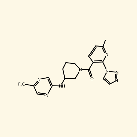 Cc1ccc(C(=O)N2CCCC(Nc3cnc(C(F)(F)F)cn3)C2)c(-n2ccnn2)n1